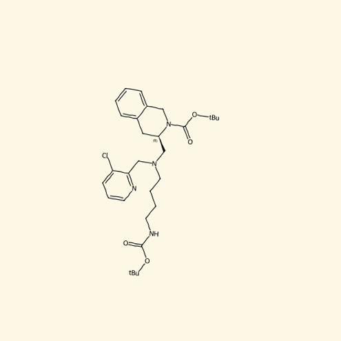 CC(C)(C)OC(=O)NCCCCN(Cc1ncccc1Cl)C[C@H]1Cc2ccccc2CN1C(=O)OC(C)(C)C